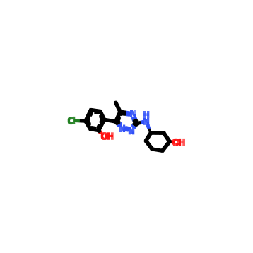 Cc1nc(N[C@@H]2CCC[C@H](O)C2)nnc1-c1ccc(Cl)cc1O